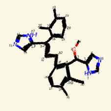 COC(c1cnc[nH]1)c1c(C/C=C(/c2cnc[nH]2)c2cccc(C)c2C)ccc(C)c1C